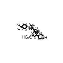 COC(=O)c1ccc(-c2noc(-c3cnn4c(C5CCNCC5)cc(=O)[nH]c34)n2)cc1.Cl